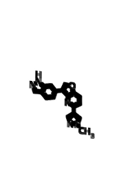 Cn1cc(-c2ccc3occ(-c4ccc5cn[nH]c5c4)c3n2)cn1